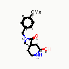 COc1ccc(CN2C[C@]3(CCNC(O)C3)C2=O)cc1